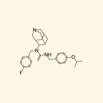 C=C(NCc1ccc(OC(C)C)cc1)N(Cc1ccc(F)cc1)C1C2CC3CC1CN(C3)C2